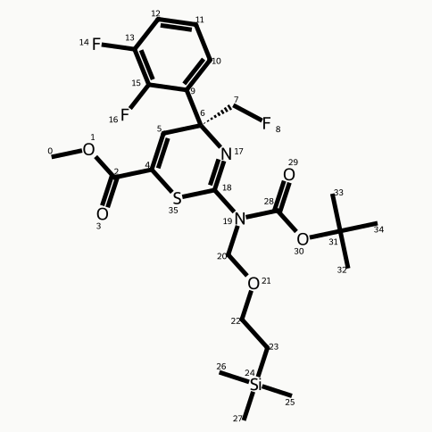 COC(=O)C1=C[C@@](CF)(c2cccc(F)c2F)N=C(N(COCC[Si](C)(C)C)C(=O)OC(C)(C)C)S1